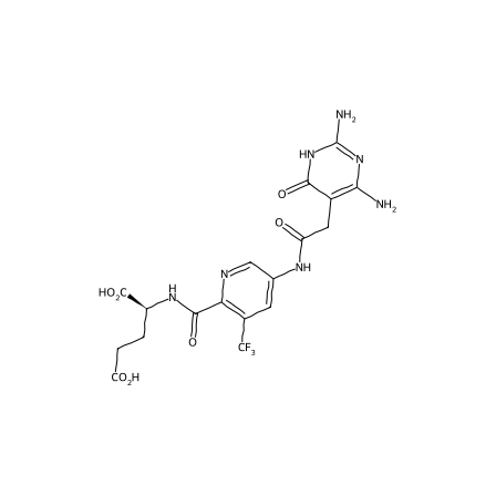 Nc1nc(N)c(CC(=O)Nc2cnc(C(=O)N[C@@H](CCC(=O)O)C(=O)O)c(C(F)(F)F)c2)c(=O)[nH]1